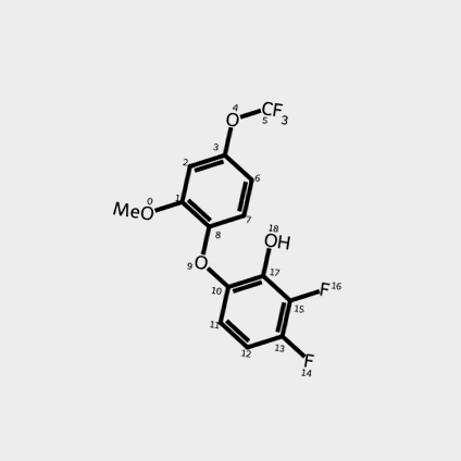 COc1cc(OC(F)(F)F)ccc1Oc1ccc(F)c(F)c1O